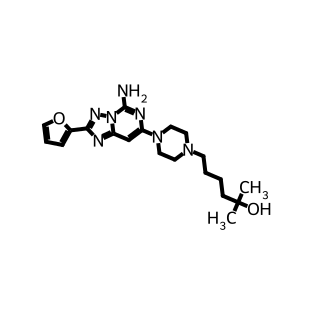 CC(C)(O)CCCCN1CCN(c2cc3nc(-c4ccco4)nn3c(N)n2)CC1